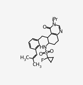 CC(C)=Cc1cccc(CC2c3c(ncn(C(C)C)c3=O)CCC2NS(=O)(=O)C2(F)CC2)c1